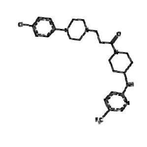 O=C(CCN1CCN(c2ccc(Cl)cc2)CC1)N1CCC(Nc2ccc(C(F)(F)F)cn2)CC1